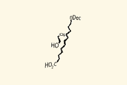 CCCCCCCCCCCCCCCCCCCCCC(=O)O.OCCO